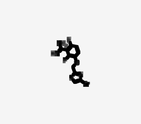 N=C(N)c1c(F)ccc(OCc2nc(Br)cs2)c1F